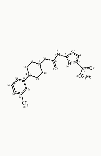 CCOC(=O)C(=O)c1csc(NC(=O)CN2CCN(c3cccc(C(F)(F)F)c3)CC2)n1